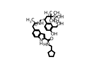 C[C@H](Cc1ccc2[nH]c(C(=O)NCC3CCCC3)cc2c1)NC[C@H](CC(C)(C)[Si](C)(C)O)c1ccc(O)c(CO)c1